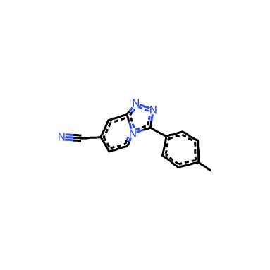 Cc1ccc(-c2nnc3cc(C#N)ccn23)cc1